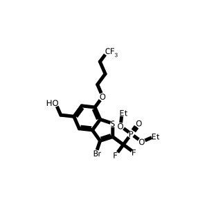 CCOP(=O)(OCC)C(F)(F)c1sc2c(OCCCC(F)(F)F)cc(CO)cc2c1Br